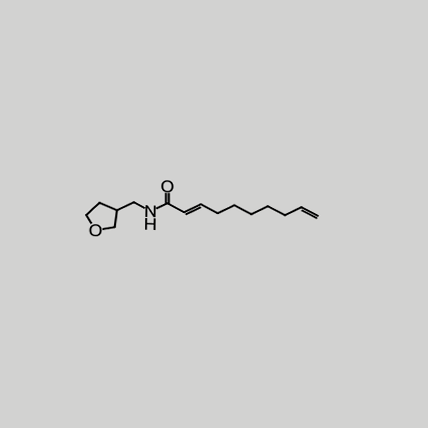 C=CCCCCCC=CC(=O)NCC1CCOC1